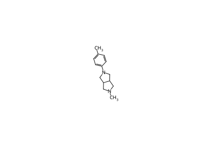 Cc1ccc(N2CC3CN(C)CC3C2)cc1